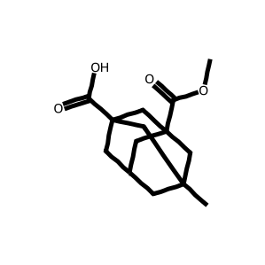 COC(=O)C12C[C]3CC(C)(CC(C(=O)O)(C3)C1)C2